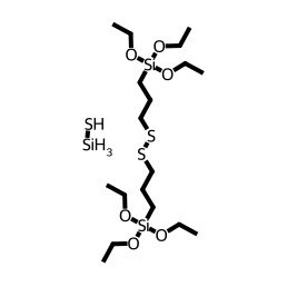 CCO[Si](CCCSSCCC[Si](OCC)(OCC)OCC)(OCC)OCC.[SiH3]S